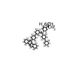 C[Si](C)(C)c1ccc(N(c2ccc(-c3ccccc3)cc2)c2cccc(-c3ccc(-n4c5ccccc5c5sc6ccccc6c54)cc3)c2)cc1